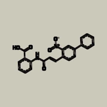 O=C(/C=C/c1ccc(-c2ccccc2)cc1[N+](=O)[O-])Nc1ccccc1C(=O)O